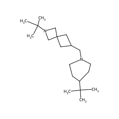 CC(C)(C)C1CCN(CC2CC3(C2)CN(C(C)(C)C)C3)CC1